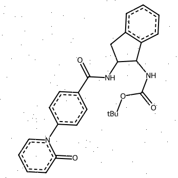 CC(C)(C)OC(=O)NC1c2ccccc2CC1NC(=O)c1ccc(-n2ccccc2=O)cc1